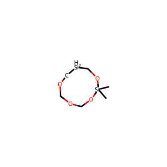 C[Si]1(C)OCOCOC[SiH2]CO1